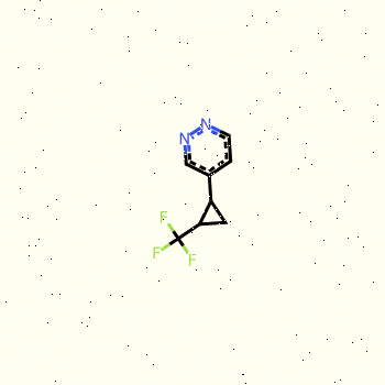 FC(F)(F)C1CC1c1ccnnc1